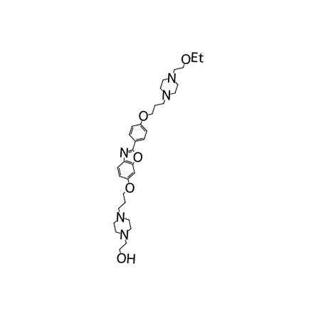 CCOCCN1CCN(CCCOc2ccc(-c3nc4ccc(OCCCN5CCN(CCO)CC5)cc4o3)cc2)CC1